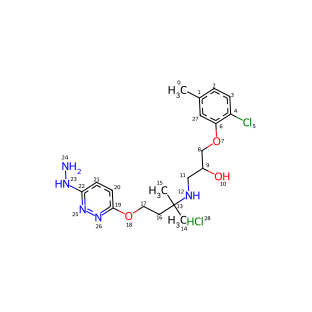 Cc1ccc(Cl)c(OCC(O)CNC(C)(C)CCOc2ccc(NN)nn2)c1.Cl